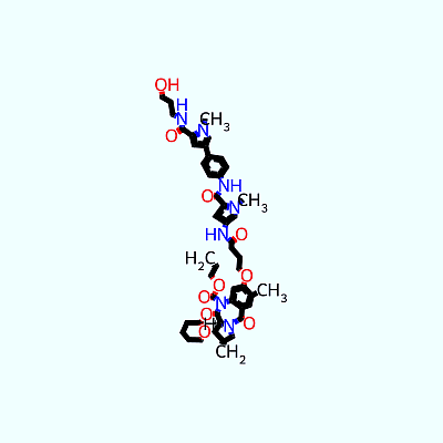 C=CCOC(=O)N1c2cc(OCCCC(=O)Nc3cc(C(=O)Nc4ccc(-c5cc(C(=O)NCCCO)n(C)c5)cc4)n(C)c3)c(C)cc2C(=O)N2CC(=C)C[C@H]2C1OC1CCCCO1